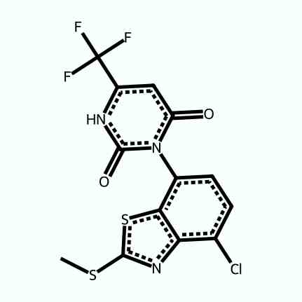 CSc1nc2c(Cl)ccc(-n3c(=O)cc(C(F)(F)F)[nH]c3=O)c2s1